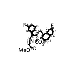 COC(=O)CNCc1c(OC(=O)O)n(Cc2cccc3ccc(F)cc23)c2ccc(F)cc12